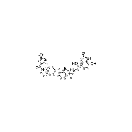 CCc1cc(C(=O)N2CCOC3(CCN(Cc4cccc(C(C)(C)CNC[C@H](O)c5ccc(O)c6[nH]c(=O)sc56)c4F)CC3)C2)cs1